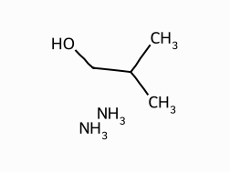 CC(C)CO.N.N